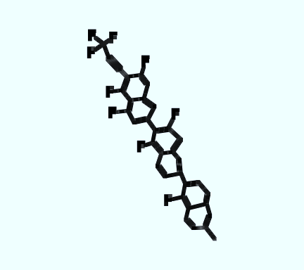 Cc1ccc2c(F)c(-c3ccc4c(F)c(-c5cc(F)c6c(F)c(C#CC(F)(F)F)c(F)cc6c5)c(F)cc4c3)ccc2c1